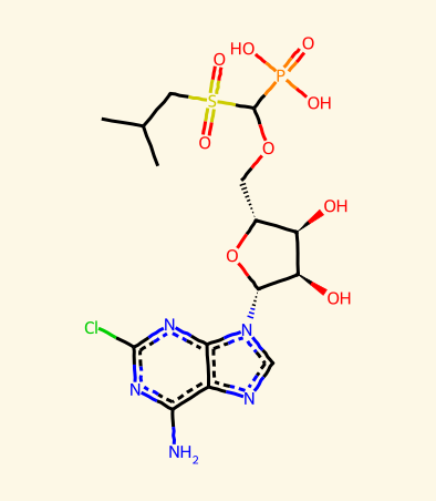 CC(C)CS(=O)(=O)C(OC[C@H]1O[C@@H](n2cnc3c(N)nc(Cl)nc32)[C@H](O)[C@@H]1O)P(=O)(O)O